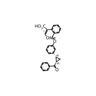 CO/C=C(/C(=O)O)c1ccccc1COc1cccc([C@@H]2C[C@H]2C(=O)c2ccccc2)c1